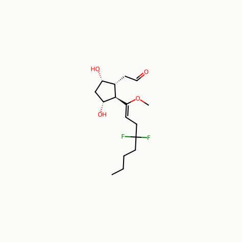 CCCCC(F)(F)CC=C(OC)[C@@H]1[C@@H](CC=O)[C@@H](O)C[C@H]1O